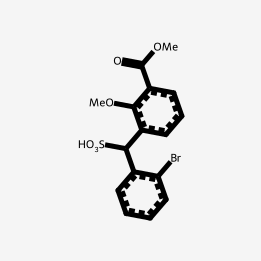 COC(=O)c1cccc(C(c2ccccc2Br)S(=O)(=O)O)c1OC